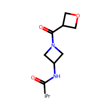 CC(C)C(=O)NC1CN(C(=O)C2COC2)C1